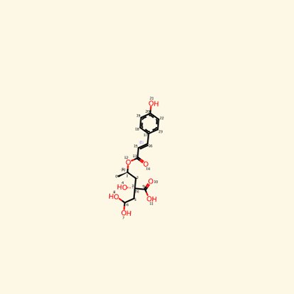 C[C@H](C[C@](O)(CC(O)O)C(=O)O)OC(=O)/C=C/c1ccc(O)cc1